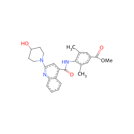 COC(=O)c1cc(C)c(NC(=O)c2cc(N3CCC(O)CC3)nc3ccccc23)c(C)c1